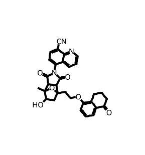 CC12OC(CCOc3cccc4c3CCCC4=O)(CC1O)C1C(=O)N(c3ccc(C#N)c4ncccc34)C(=O)C12